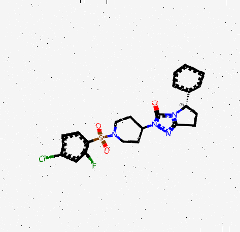 O=c1n(C2CCN(S(=O)(=O)c3ccc(Cl)cc3F)CC2)nc2n1[C@H](c1ccccc1)CC2